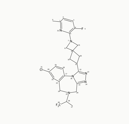 Cc1ccc(F)c(N2CC3(CC(c4nnc5n4-c4ccc(Cl)cc4CN(C(C)C(F)(F)F)C5)C3)C2)n1